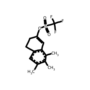 Cc1cc2c(c(C)c1C)C=C(OS(=O)(=O)C(F)(F)F)CC2